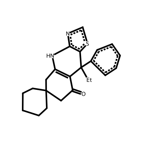 CCC1(c2ccccc2)C2=C(CC3(CCCCC3)CC2=O)Nc2ncsc21